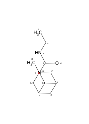 CCNC(=O)CC1C2CC1CN(C)C2